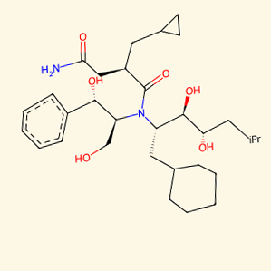 CC(C)C[C@H](O)[C@H](O)[C@H](CC1CCCCC1)N(C(=O)[C@@H](CC(N)=O)CC1CC1)[C@@H](CO)[C@@H](O)c1ccccc1